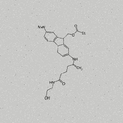 C=C(CCCC(=O)NCCO)NC1=CCC2C(=C1)C(COC(=O)CC)c1cc(NC)ccc12